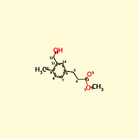 COC(=O)CCc1ccc(C)c(CO)c1